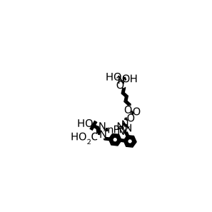 CCCc1nc(C(C)(C)O)c(C(=O)O)n1Cc1ccc(-c2ccccc2-c2nnn(COC(=O)OCCCCCON(O)O)n2)cc1